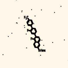 CCCCCCc1ccc2c(F)c(-c3ccc(-c4ccc(C(F)(F)F)cc4)c(F)c3)ccc2c1